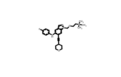 C[Si](C)(C)CCOCn1ncc2cc(Nc3ccc(F)cc3)c(C#CC3CCOCC3)cc21